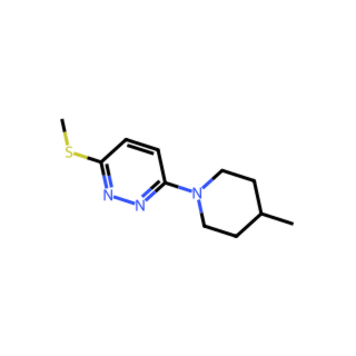 CSc1ccc(N2CCC(C)CC2)nn1